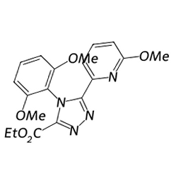 CCOC(=O)c1nnc(-c2cccc(OC)n2)n1-c1c(OC)cccc1OC